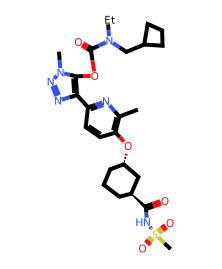 CCN(CC1CCC1)C(=O)Oc1c(-c2ccc(O[C@H]3CCC[C@H](C(=O)NS(C)(=O)=O)C3)c(C)n2)nnn1C